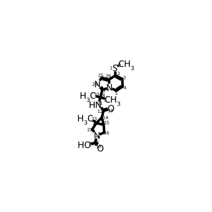 CSc1cccn2c(C(C)(C)NC(=O)C3C4CN(C(=O)O)CC43C)ncc12